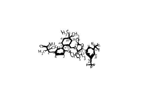 COc1ccc(CC(C)(C)C(N)=O)cc1C1=C(CN2C(=O)O[C@H](c3cc(C(F)(F)F)cc(C(F)(F)F)c3)[C@@H]2C)CC(C)(C)CC1